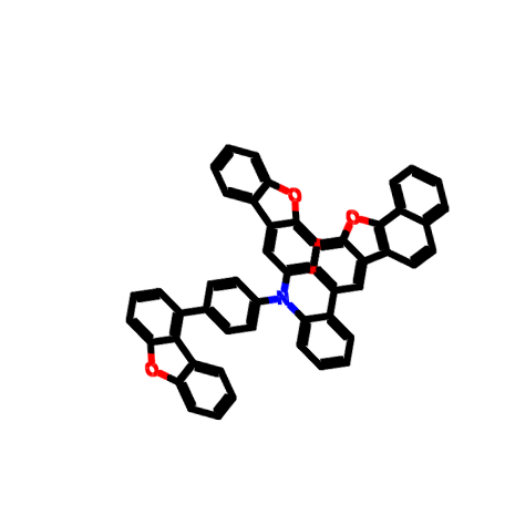 c1ccc(N(c2ccc(-c3cccc4oc5ccccc5c34)cc2)c2ccc3oc4ccccc4c3c2)c(-c2ccc3oc4c5ccccc5ccc4c3c2)c1